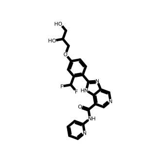 O=C(Nc1ccccn1)c1cncc2nc(-c3ccc(OCC(O)CO)cc3C(F)F)[nH]c12